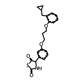 O=C1NC(c2cccc(OCCCOc3ccccc3CC3CC3)c2)C(=O)S1